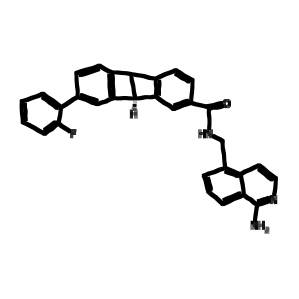 Nc1nccc2c(CNC(=O)c3ccc4c(c3)[C@H]3c5cc(-c6ccccc6F)ccc5C43)cccc12